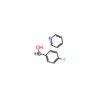 OBc1ccc(F)cc1.c1ccncc1